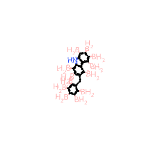 Bc1c(B)c(B)c(Cc2c(B)c(B)c3[nH]c4c(B)c(B)c(B)c(B)c4c3c2B)c(B)c1B